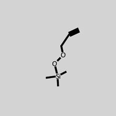 C#CCOO[Si](C)(C)C